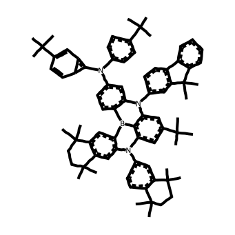 CC(C)(C)C1=CC2=C(N(c3ccc(C(C)(C)C)cc3)c3ccc4c(c3)N(c3ccc5c(c3)C(C)(C)c3ccccc3-5)c3cc(C(C)(C)C)cc5c3B4c3cc4c(cc3N5c3ccc5c(c3)C(C)(C)CCC5(C)C)C(C)(C)CCC4(C)C)C2C=C1